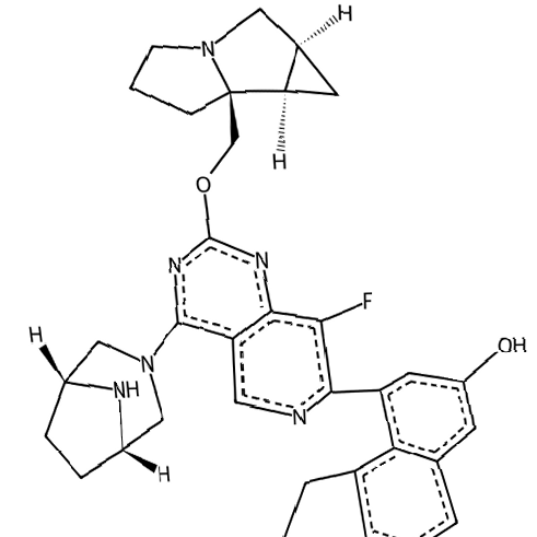 Oc1cc(-c2ncc3c(N4C[C@H]5CC[C@@H](C4)N5)nc(OC[C@@]45CCCN4C[C@H]4C[C@H]45)nc3c2F)c2c3c(ccc2c1)CCC3